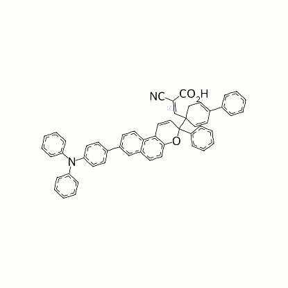 N#C/C(=C/C1(C2(c3ccccc3)C=Cc3c(ccc4cc(-c5ccc(N(c6ccccc6)c6ccccc6)cc5)ccc34)O2)C=CC(c2ccccc2)=CC1)C(=O)O